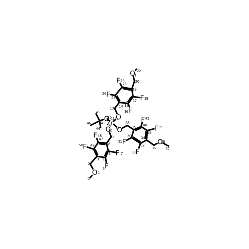 COCc1c(F)c(F)c(C[O][Zr]([O]Cc2c(F)c(F)c(COC)c(F)c2F)([O]Cc2c(F)c(F)c(COC)c(F)c2F)[O]C(C)(C)C)c(F)c1F